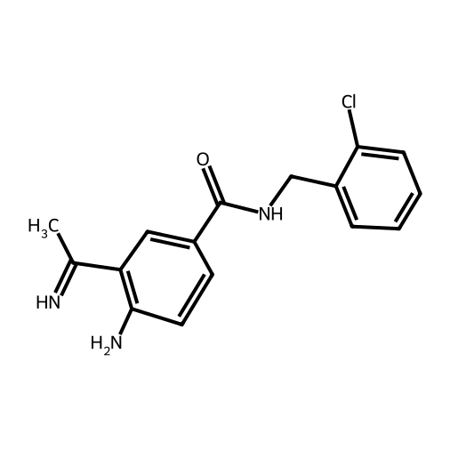 CC(=N)c1cc(C(=O)NCc2ccccc2Cl)ccc1N